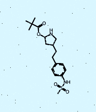 CC(C)(C)C(=O)OC1CC(CCc2ccc(NS(C)(=O)=O)cc2)CN1